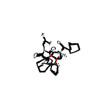 CC(C)N1C(=O)N(CC(F)F)C(=O)C12CC1CCC(C2)N1C[C@H]1CN(C(=O)C2CCCC2)C[C@@H]1c1ccccc1